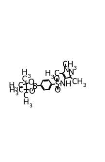 Cc1nn(C)c(C)c1NS(=O)(=O)c1ccc(B2OC(C)(C)C(C)(C)O2)cc1